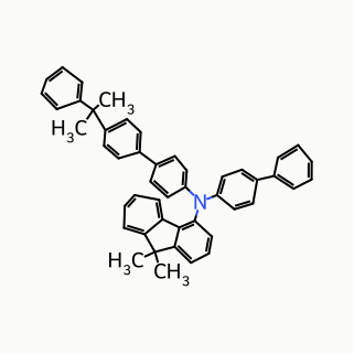 CC(C)(c1ccccc1)c1ccc(-c2ccc(N(c3ccc(-c4ccccc4)cc3)c3cccc4c3-c3ccccc3C4(C)C)cc2)cc1